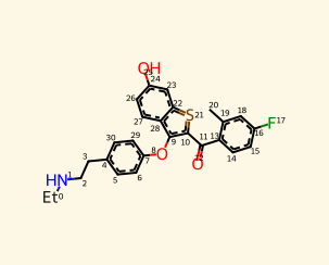 CCNCCc1ccc(Oc2c(C(=O)c3ccc(F)cc3C)sc3cc(O)ccc23)cc1